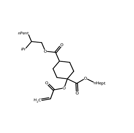 C=CC(=O)OC1(C(=O)OCCCCCCC)CCC(C(=O)OCC(CCCCC)C(C)C)CC1